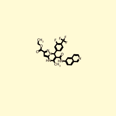 CCOC(=O)c1cc2n(n1)C(c1ccc(C(F)(F)F)c(F)c1)C(C(=O)Nc1ccc3cnccc3c1)=C(C)N2